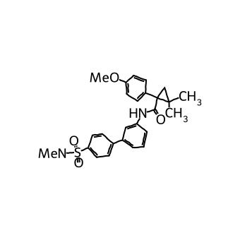 CNS(=O)(=O)c1ccc(-c2cccc(NC(=O)C3(c4ccc(OC)cc4)CC3(C)C)c2)cc1